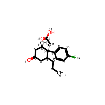 CCCC1CC(=O)CC(C)[C@@]1(CC(=O)O)c1ccc(F)cc1